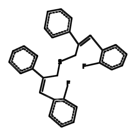 Fc1ccccc1C=C(CSCC(=Cc1ccccc1F)c1ccccc1)c1ccccc1